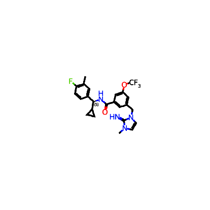 Cc1cc([C@@H](NC(=O)c2cc(Cn3ccn(C)c3=N)cc(OC(F)(F)F)c2)C2CC2)ccc1F